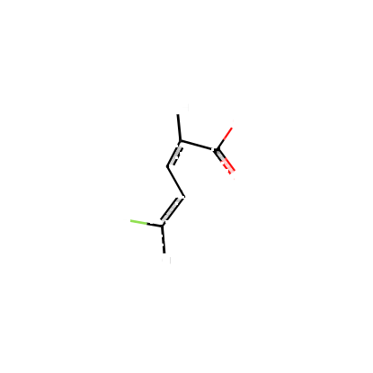 CC(F)=CC=C(C)C(=O)O